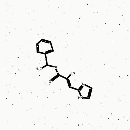 CC(NC(=O)/C(C#N)=C/c1ncc[nH]1)c1ccccc1